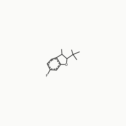 CC1c2ccc(F)cc2OC1C(C)(C)C